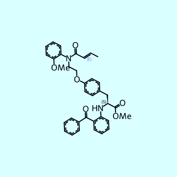 C/C=C/C(=O)N(CCOc1ccc(C[C@H](Nc2ccccc2C(=O)c2ccccc2)C(=O)OC)cc1)c1ccccc1OC